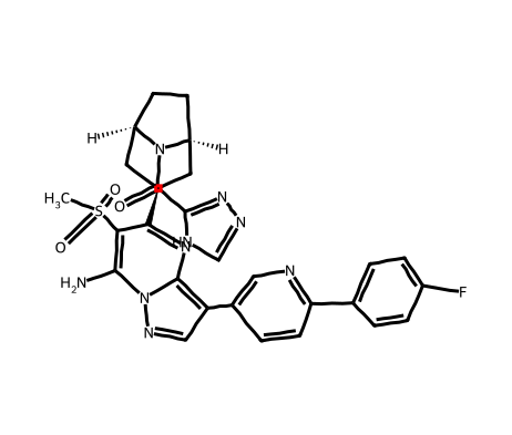 CS(=O)(=O)c1c([C@H]2C[C@H]3CC[C@@H](C2)N3C(=O)c2nnc[nH]2)nc2c(-c3ccc(-c4ccc(F)cc4)nc3)cnn2c1N